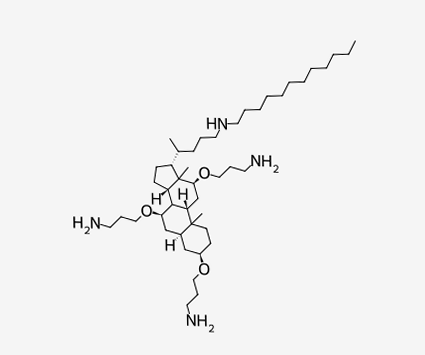 CCCCCCCCCCCCNCCCC(C)[C@H]1CC[C@H]2C3[C@H](OCCCN)C[C@@H]4C[C@H](OCCCN)CCC4(C)[C@H]3C[C@H](OCCCN)C12C